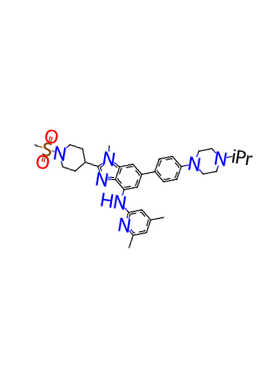 Cc1cc(C)nc(Nc2cc(-c3ccc(N4CCN(C(C)C)CC4)cc3)cc3c2nc(C2CCN(S(C)(=O)=O)CC2)n3C)c1